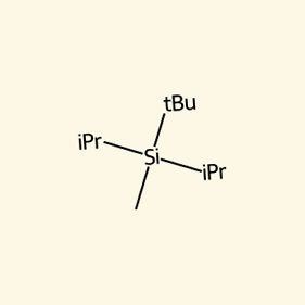 CC(C)[Si](C)(C(C)C)C(C)(C)C